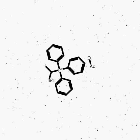 CC(=O)[O-].CCCC(I)[P+](c1ccccc1)(c1ccccc1)c1ccccc1